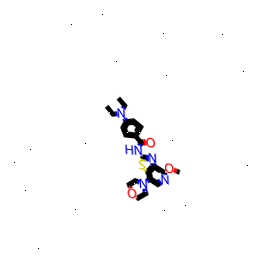 CCN(CC)c1ccc(C(=O)Nc2nc3c(OC)ncc(N4CCOCC4)c3s2)cc1